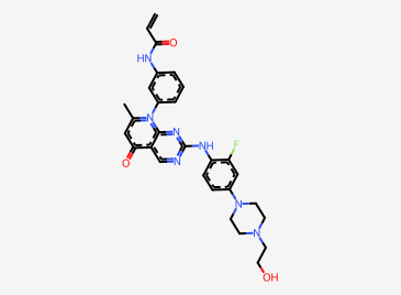 C=CC(=O)Nc1cccc(-n2c(C)cc(=O)c3cnc(Nc4ccc(N5CCN(CCO)CC5)cc4F)nc32)c1